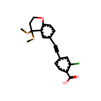 CSC1(SC)CCOc2ccc(C#Cc3ccc(C(=O)O)c(F)c3)cc21